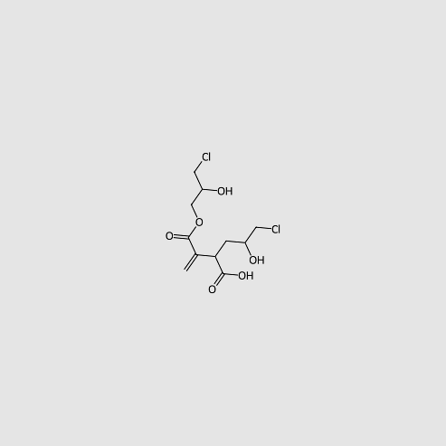 C=C(C(=O)OCC(O)CCl)C(CC(O)CCl)C(=O)O